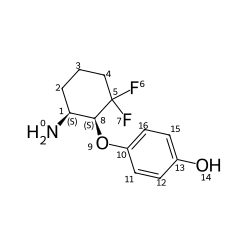 N[C@H]1CCCC(F)(F)[C@H]1Oc1ccc(O)cc1